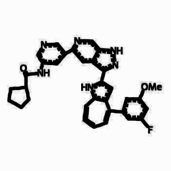 COc1cc(F)cc(C2=CC=C=Cc3[nH]c(-c4n[nH]c5cnc(-c6cncc(NC(=O)C7CCCC7)c6)cc45)cc32)c1